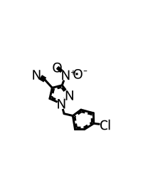 N#Cc1cn(Cc2ccc(Cl)cc2)nc1[N+](=O)[O-]